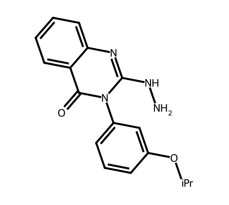 CC(C)Oc1cccc(-n2c(NN)nc3ccccc3c2=O)c1